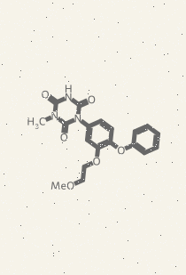 COCCOc1cc(-n2c(=O)[nH]c(=O)n(C)c2=O)ccc1Oc1ccccc1